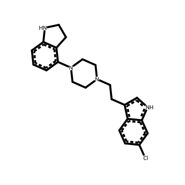 Clc1ccc2c(CCN3CCN(c4cccc5c4CCN5)CC3)c[nH]c2c1